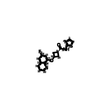 O=C(Nc1nccs1)[C@H]1C[C@H](Oc2cc(F)cc3cccnc23)C1